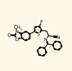 Cn1c(=O)oc2ccc(-c3cc(F)c(CC(C#N)N=C(c4ccccc4)c4ccccc4)s3)cc21